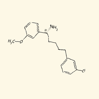 COc1cccc([C@H](N)CCCCc2cccc(Cl)c2)c1